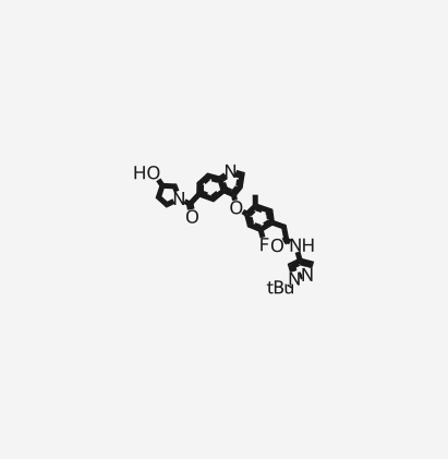 Cc1cc(CC(=O)Nc2cnn(C(C)(C)C)c2)c(F)cc1Oc1ccnc2ccc(C(=O)N3CCC(O)C3)cc12